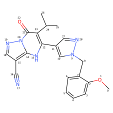 COc1ccccc1Cn1cc(-c2[nH]c3c(C#N)cnn3c(=O)c2C(C)C)cn1